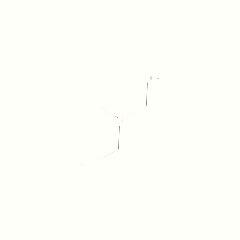 CCCCCN([O])CCCCC